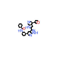 O=C(Nc1cccc(-c2cnc3[nH]nc(-c4cc5c(-c6ccoc6)cncc5[nH]4)c3c2)c1)c1ccccc1